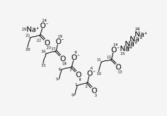 CCC(=O)[O-].CCC(=O)[O-].CCC(=O)[O-].CCC(=O)[O-].CCC(=O)[O-].[Na+].[Na+].[Na+].[Na+].[Na+]